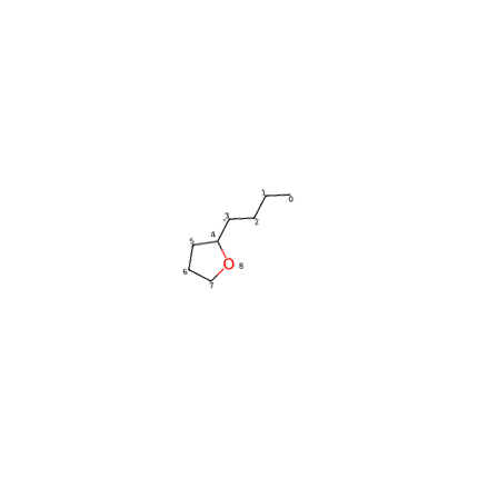 CCC[CH]C1CCCO1